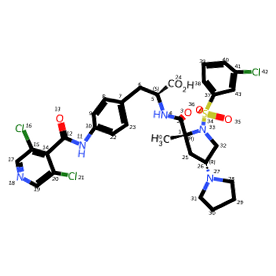 C[C@]1(C(=O)N[C@@H](Cc2ccc(NC(=O)c3c(Cl)cncc3Cl)cc2)C(=O)O)C[C@@H](N2CCCC2)CN1S(=O)(=O)c1cccc(Cl)c1